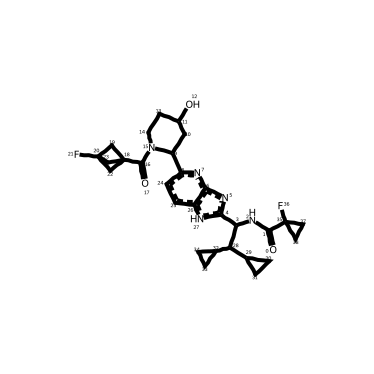 O=C(NC(c1nc2nc(C3CC(O)CCN3C(=O)C34CC(F)(C3)C4)ccc2[nH]1)C(C1CC1)C1CC1)C1(F)CC1